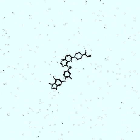 C=CC(=O)N1CCN(c2ccc3ncnc(Nc4ccc(Oc5cc(F)c6c(c5)nnn6C)c(C)c4)c3n2)CC1